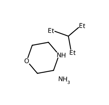 C1COCCN1.CCC(CC)CC.N